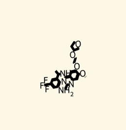 COc1cc2nc(C)nc(NC(C)c3cc(N)cc(C(F)(F)F)c3)c2cc1OCCO[C@H]1CCOC1